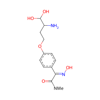 CNC(=O)/C(=N/O)c1ccc(OCCC(N)C(O)O)cc1